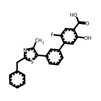 Cc1nc(Cc2ccccc2)sc1-c1cccc(-c2cc(O)c(C(=O)O)cc2F)c1